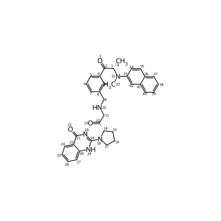 C[C@@H](C(=O)c1cccc(CNCC(=O)[C@@H]2CCCN2c2nc(=O)c3ccccc3[nH]2)c1)N(C)c1ccc2ccccc2c1